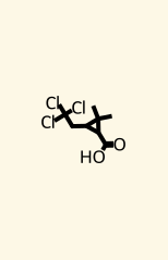 CC1(C)C(CC(Cl)(Cl)Cl)C1C(=O)O